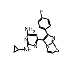 Nc1cc(-c2c(-c3ccc(F)cc3)nc3sccn23)nc(NC2CC2)n1